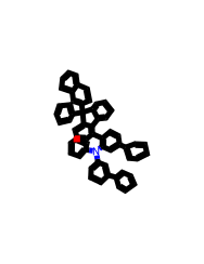 c1ccc(-c2cccc(N(c3ccccc3)c3cc(-c4ccccc4)ccc3-c3cccc4c3-c3ccccc3C4(c3ccccc3)c3ccc4ccccc4c3)c2)cc1